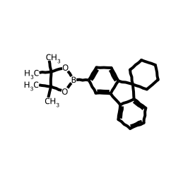 CC1(C)OB(c2ccc3c(c2)-c2ccccc2C32CCCCC2)OC1(C)C